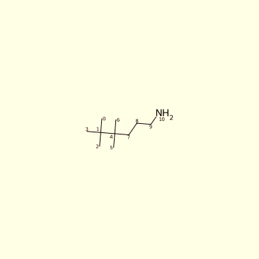 CC(C)(C)C(C)(C)CCCN